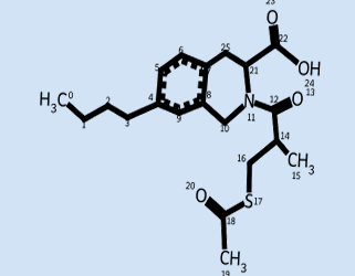 CCCCc1ccc2c(c1)CN(C(=O)C(C)CSC(C)=O)C(C(=O)O)C2